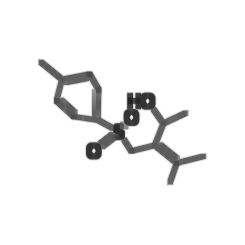 CC(C)=C(CS(=O)(=O)c1ccc(C)cc1)C(C)O